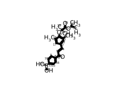 Cc1cc(/C=C/C(=O)c2ccc(B(O)O)cc2)cc(C)c1OC(C)(C)C(=O)OC(C)C